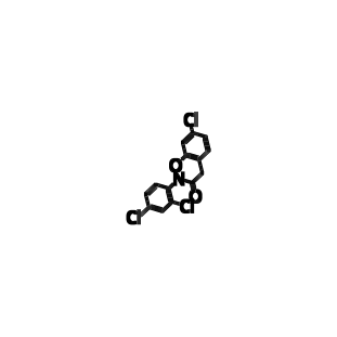 O=C1Cc2ccc(Cl)cc2ON1c1ccc(Cl)cc1Cl